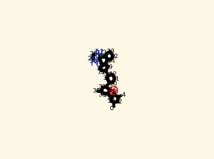 Cc1cc(C)c2oc3c(-c4cccc(-c5ccc6c(c5)c5ccccc5c5nccnc65)c4)cc(C)cc3c2c1